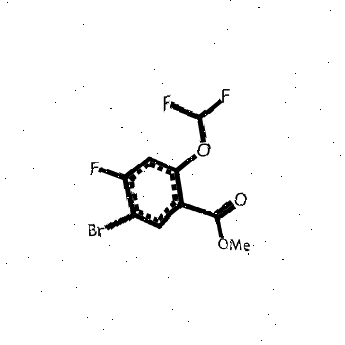 COC(=O)c1cc(Br)c(F)cc1OC(F)F